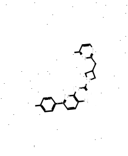 Cc1ccnc(CC2CN(C(=O)Nc3nc(-c4ccc(F)cc4)ccc3N)C2)n1